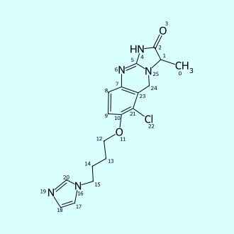 CC1C(=O)NC2=Nc3ccc(OCCCCn4ccnc4)c(Cl)c3CN21